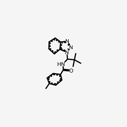 Cc1ccc(C(=O)NC(n2nnc3ccccc32)C(C)(C)C)cc1